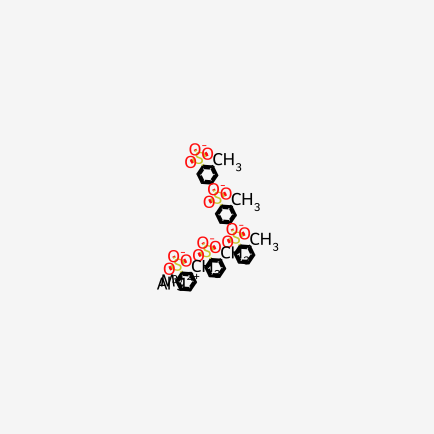 Cc1ccccc1S(=O)(=O)[O-].Cc1ccccc1S(=O)(=O)[O-].Cc1ccccc1S(=O)(=O)[O-].Cc1ccccc1S(=O)(=O)[O-].Cc1ccccc1S(=O)(=O)[O-].[Al+3].[Mg+2]